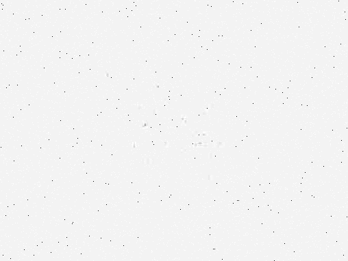 CC(C)C(=O)SC(C)(C)COCC(C)(C)OP(N(C(C)C)C(C)C)N(C(C)C)C(C)CCC(C)N(C(C)C)P(OC(C)(C)C(C)(C)OC(C)(C)C(C)(C)SC(=O)C(C)C)N(C(C)C)C(C)C